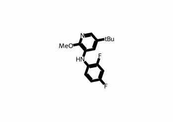 COc1ncc(C(C)(C)C)cc1Nc1ccc(F)cc1F